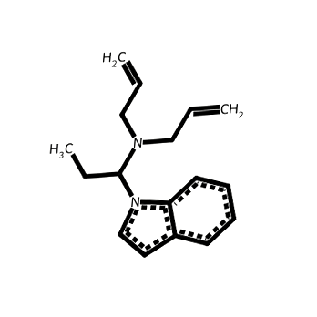 C=CCN(CC=C)C(CC)n1ccc2ccccc21